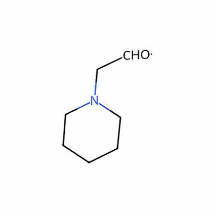 O=[C]CN1CCCCC1